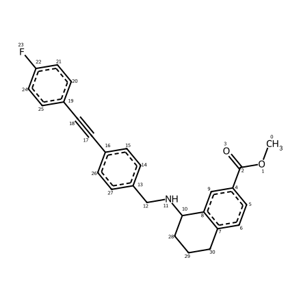 COC(=O)c1ccc2c(c1)C(NCc1ccc(C#Cc3ccc(F)cc3)cc1)CCC2